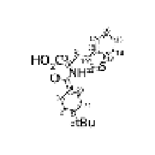 CC(C)(C)c1ccc(C(=O)NC(=Cc2csc3ccccc23)C(=O)O)cc1